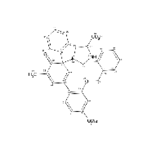 COc1ccc(C2=CC(c3ccccc3)(N3CNC(C(=O)O)C3)C(=O)C(C)=C2)c(OCc2ccccc2)c1